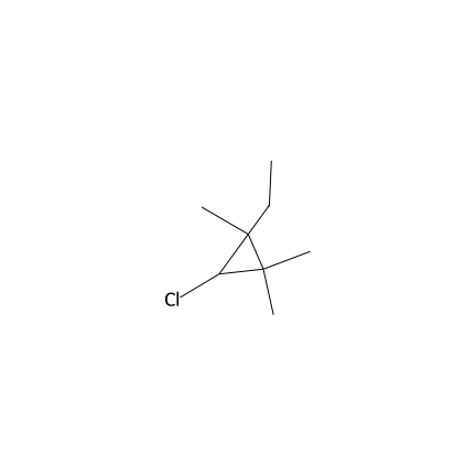 CCC1(C)C(Cl)C1(C)C